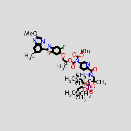 COc1cnc2c(-c3nc4cc(F)c(OC[C@@H](C)OC(=O)N(C(=O)OC(C)(C)C)c5ccc(C(=O)NCC(C)(C)OP(=O)(OCC[Si](C)(C)C)OCC[Si](C)(C)C)nc5)cc4s3)cc(C)cc2n1